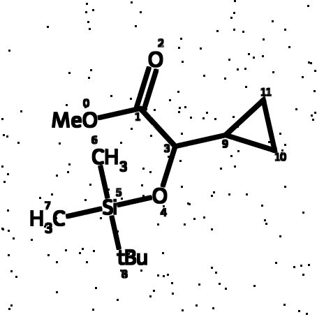 COC(=O)C(O[Si](C)(C)C(C)(C)C)C1CC1